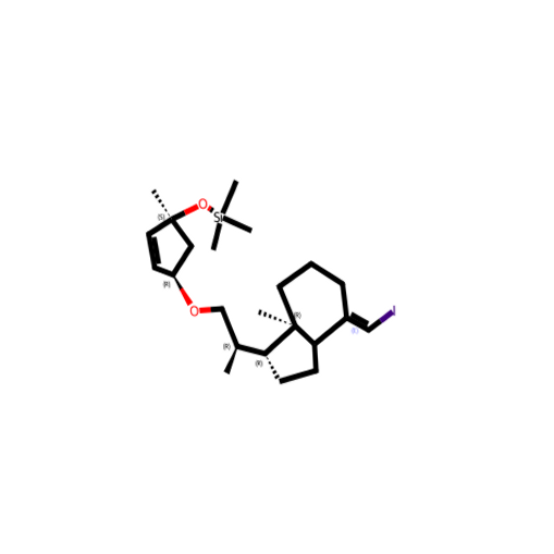 C[C@@H](CO[C@H]1C=C[C@@](C)(O[Si](C)(C)C)C1)[C@H]1CCC2/C(=C/I)CCC[C@@]21C